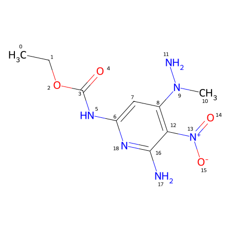 CCOC(=O)Nc1cc(N(C)N)c([N+](=O)[O-])c(N)n1